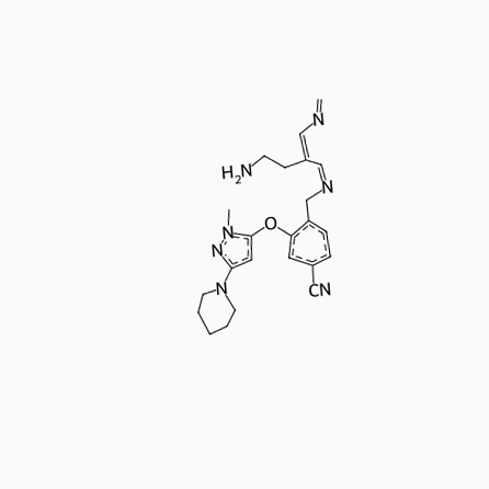 C=N/C=C(\C=N/Cc1ccc(C#N)cc1Oc1cc(N2CCCCC2)nn1C)CCN